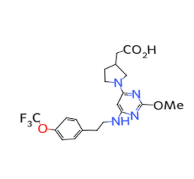 COc1nc(NCCc2ccc(OC(F)(F)F)cc2)cc(N2CCC(CC(=O)O)C2)n1